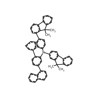 CC1(C)c2ccccc2-c2ccc(N(c3ccc(-c4cccc5c4C(C)(C)c4ccccc4-5)cc3)c3cc(-c4cccc5ccccc45)ccc3-c3ccccc3)cc21